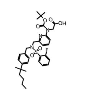 CCCCC(C)(C)c1ccc(CN(Cc2cccc(N(CC(=O)O)C(=O)OC(C)(C)C)n2)S(=O)(=O)c2ccccc2F)cc1